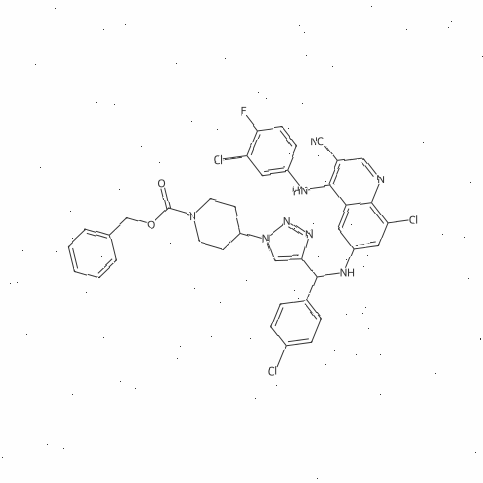 N#Cc1cnc2c(Cl)cc(NC(c3ccc(Cl)cc3)c3cn(C4CCN(C(=O)OCc5ccccc5)CC4)nn3)cc2c1Nc1ccc(F)c(Cl)c1